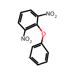 O=[N+]([O-])c1cccc([N+](=O)[O-])c1Oc1c[c]ccc1